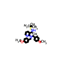 COc1ccc(CN(Cc2ccc(OC)cc2)c2ncccc2[C@@H](C)NSC(C)(C)C)cc1